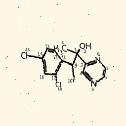 CC(O)(c1cnccn1)C(I)c1ccc(Cl)cc1Cl